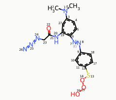 CN(C)c1ccc(/N=N/c2ccc(SOOO)cc2)c(NC(=O)CN=[N+]=[N-])c1